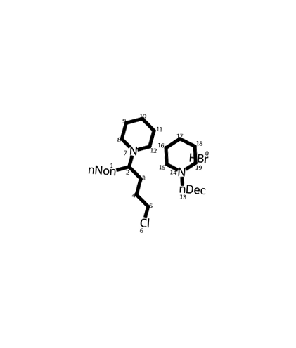 Br.CCCCCCCCCC(CCCCl)N1CCCCC1.CCCCCCCCCCN1CCCCC1